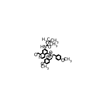 COc1ccc(CN(Cc2ccc(OC)cc2)S(=O)(=O)c2cc(NC(=O)OC(C)(C)C)cc3c(C=O)nccc23)cc1